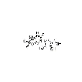 O=c1[nH]c(=O)n([C@@H]2O[C@H](CO)[C@@H](O)[C@H]2O)cc1OP(=O)(O)O